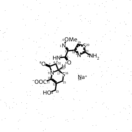 CON=C(C(=O)N[C@H]1C(=O)N2C(C(=O)[O-])=C(CO)CS[C@@H]12)c1csc(N)n1.[Na+]